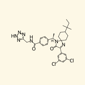 CCC(C)(C)C1CCC2(CC1)N=C(c1cc(Cl)cc(Cl)c1)C(=O)N2[C@H](C)c1ccc(C(=O)NCc2nn[nH]n2)cc1